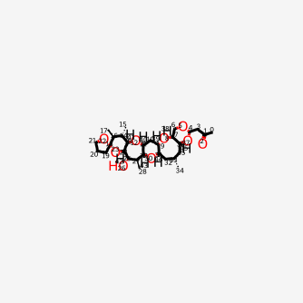 CC(=O)CC1OC[C@@H]2O[C@@H]3C[C@@H]4O[C@@H]5[C@@H](C)[C@H](C)C6(CCCO6)O[C@H]5[C@@H](O)[C@H](C)[C@H]4O[C@H]3C[C@@H](C)C[C@H]2O1